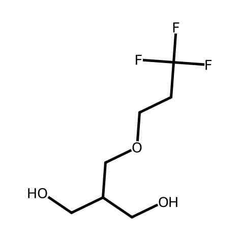 OCC(CO)COCCC(F)(F)F